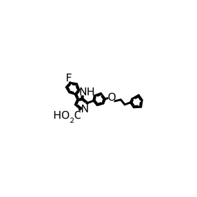 O=C(O)c1cc2c([nH]c3cc(F)ccc32)c(-c2ccc(OCCCc3ccccc3)cc2)n1